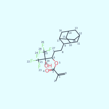 C=C(C)C(=O)OC(CCC1C2CC3CC(C2)CC1C3)C(O)(C(F)(F)F)C(F)(F)F